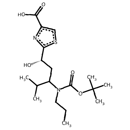 CCCN(C(=O)OC(C)(C)C)C(C[C@H](O)c1nc(C(=O)O)cs1)C(C)C